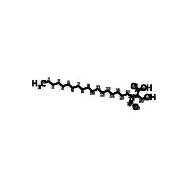 CCCCCCCCCCCCCCCCCCN(P=O)C(CO)C(=O)O